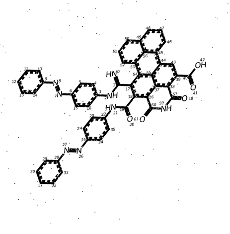 N=C(Nc1ccc(N=Nc2ccccc2)cc1)c1c(C(=O)Nc2ccc(N=Nc3ccccc3)cc2)c2c3c(c(C(=O)O)cc4c5cccc6cccc(c1c34)c65)C(=O)NC2=O